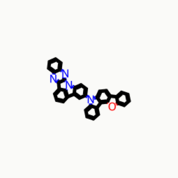 c1ccc2nc3c(nc2c1)c1cccc2c4cc(-n5c6ccccc6c6c7oc8ccccc8c7ccc65)ccc4n3c21